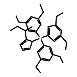 CCc1cc(CC)cc([Si]([C]2C=CC=C2C(C)CC)(c2cc(CC)cc(CC)c2)c2cc(CC)cc(CC)c2)c1